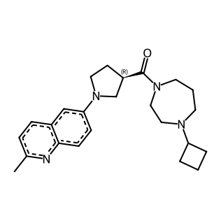 Cc1ccc2cc(N3CC[C@@H](C(=O)N4CCCN(C5CCC5)CC4)C3)ccc2n1